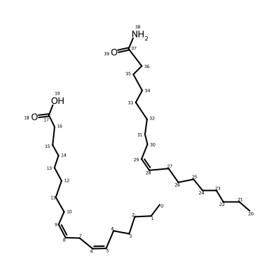 CCCCC/C=C\C/C=C\CCCCCCCC(=O)O.CCCCCCCC/C=C\CCCCCCCC(N)=O